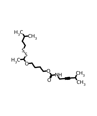 CC(C)C#CCNC(=O)OCCCCOC(C)SSCCC(C)C